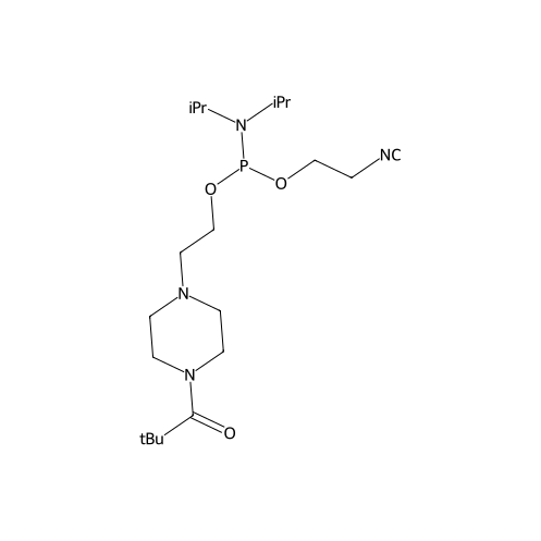 [C-]#[N+]CCOP(OCCN1CCN(C(=O)C(C)(C)C)CC1)N(C(C)C)C(C)C